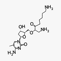 Cc1cn([C@H]2C[C@H](O)[C@@H](COC(CN)C(=O)CCCCCN)O2)c(=O)nc1N